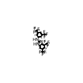 FC(F)(F)c1cc(Nc2nc3c(C(F)(F)F)cc(C(F)(F)F)cc3[nH]2)cc(C(F)(F)F)c1